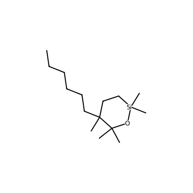 CCCCCCC1(C)CC[Si](C)(C)OC1(C)C